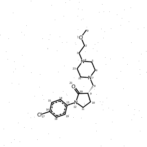 COCCN1CCN(C[C@@H]2CCN(c3ccc(Cl)cc3)C2=O)CC1